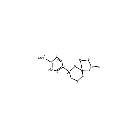 COc1ccc(N2CCCC3(CCN(C)C3)C2)cn1